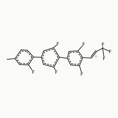 Cc1ccc(-c2cc(F)c(-c3cc(F)c(/C=C/C(F)(F)F)c(F)c3)c(F)c2)c(F)c1